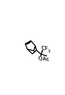 CC(=O)OC(C)(C1CC2C=CC1C2)C(F)(F)F